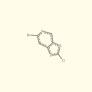 Clc1nc2cnc(Br)cc2s1